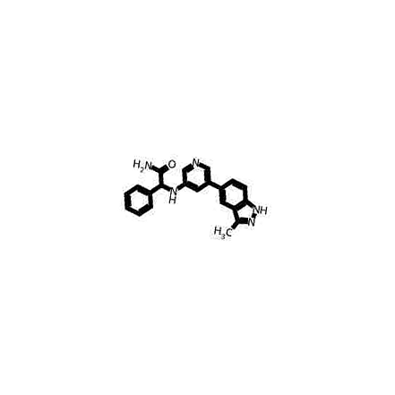 Cc1n[nH]c2ccc(-c3cncc(NC(C(N)=O)c4ccccc4)c3)cc12